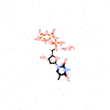 Cc1cn([C@H]2C[C@H](O)[C@@H](COP(=O)(O)OP(=O)(O)OP(=O)(O)O)O2)c(=O)[nH]c1=O.O.O